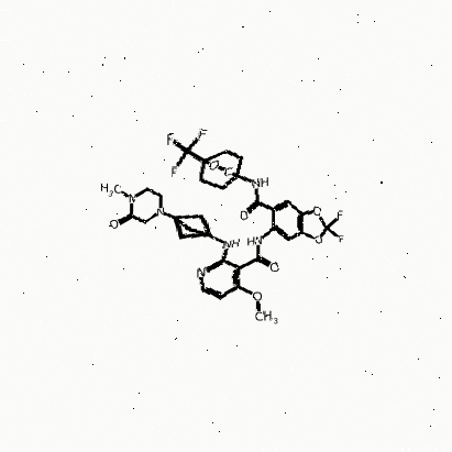 COc1ccnc(NC23CC(N4CCN(C)C(=O)C4)(C2)C3)c1C(=O)Nc1cc2c(cc1C(=O)NC13CCC(C(F)(F)F)(CC1)OC3)OC(F)(F)O2